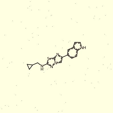 c1cc2cc(-c3cn4nc(NCC5CC5)sc4n3)ccc2[nH]1